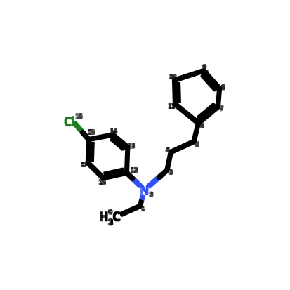 CCN(CCCc1cc[c]cc1)c1ccc(Cl)cc1